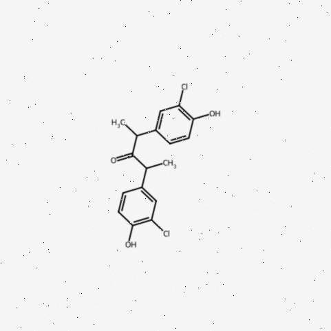 CC(C(=O)C(C)c1ccc(O)c(Cl)c1)c1ccc(O)c(Cl)c1